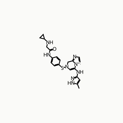 Cc1cc(NC2=CN(Sc3ccc(NC(=O)CNC4CC4)cc3)CC3=NC=C[N+]23)n[nH]1